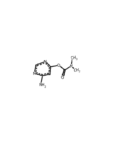 CN(C)C(=O)Oc1cc(N)ncn1